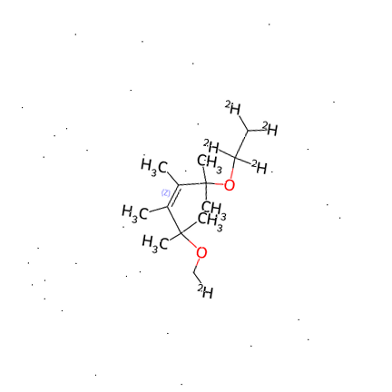 [2H]COC(C)(C)/C(C)=C(/C)C(C)(C)OC([2H])([2H])C([2H])[2H]